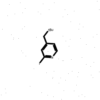 CC(C)(C)Cc1ccnc(I)c1